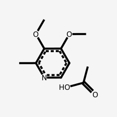 CC(=O)O.COc1ccnc(C)c1OC